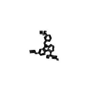 Cc1cccc(Cn2c3cc(CO)c[c]c3c3c(C(N)=O)cccc32)c1